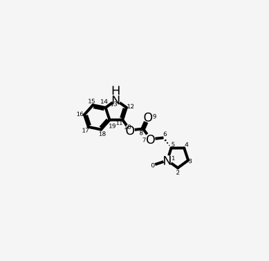 CN1CCC[C@H]1COC(=O)Oc1c[nH]c2ccccc12